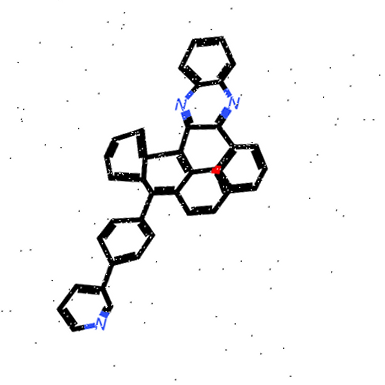 c1ccc(-c2nc3ccccc3nc2-c2c3ccccc3c(-c3ccc(-c4cccnc4)cc3)c3ccccc23)cc1